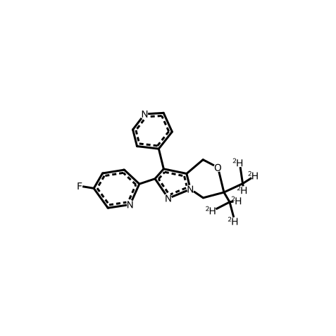 [2H]C([2H])([2H])C1(C([2H])([2H])[2H])Cn2nc(-c3ccc(F)cn3)c(-c3ccncc3)c2CO1